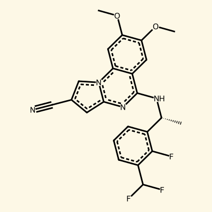 COc1cc2c(N[C@H](C)c3cccc(C(F)F)c3F)nc3cc(C#N)cn3c2cc1OC